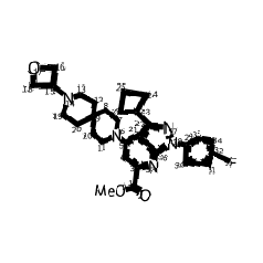 COC(=O)c1cc(N2CCC3(CC2)CCN(C2COC2)CC3)c2c(C3CCC3)nn(-c3ccc(F)cc3)c2n1